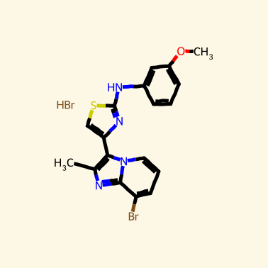 Br.COc1cccc(Nc2nc(-c3c(C)nc4c(Br)cccn34)cs2)c1